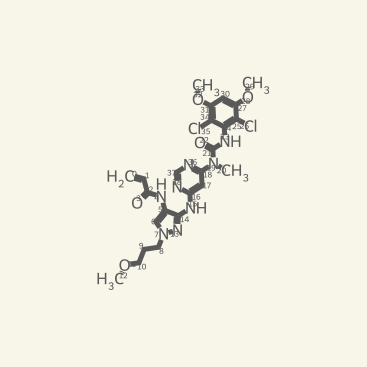 C=CC(=O)Nc1cn(CCCOC)nc1Nc1cc(N(C)C(=O)Nc2c(Cl)c(OC)cc(OC)c2Cl)ncn1